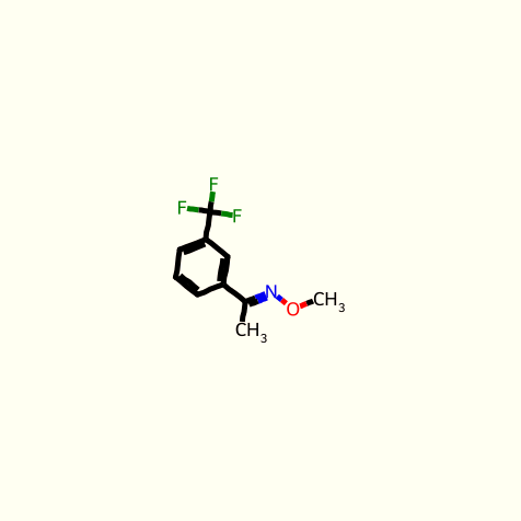 CON=C(C)c1cccc(C(F)(F)F)c1